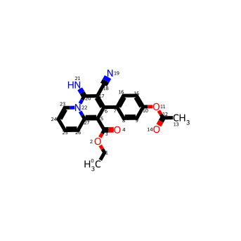 CCOC(=O)c1c(-c2ccc(OC(C)=O)cc2)c(C#N)c(=N)n2ccccc12